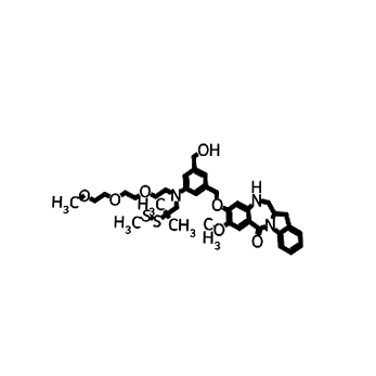 COCCOCCOCCN(CC(C)(C)SSC)c1cc(CO)cc(COc2cc3c(cc2OC)C(=O)N2c4ccccc4CC2CN3)c1